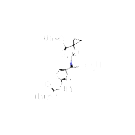 CC(C)(C)OC(=O)Nc1nc(/C(=N/OC2(C(=O)OC(C)(C)C)CC2)C(=O)O)cs1